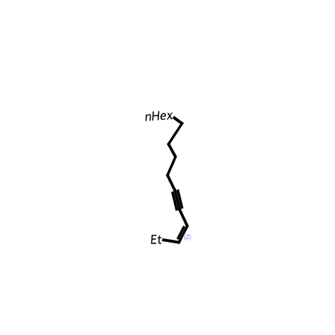 [CH2]CCCCCCCCCC#C/C=C\CC